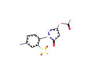 Nc1ccc(-n2[nH]c(OC(=O)O)cc2=O)c(S(=O)(=O)O)c1